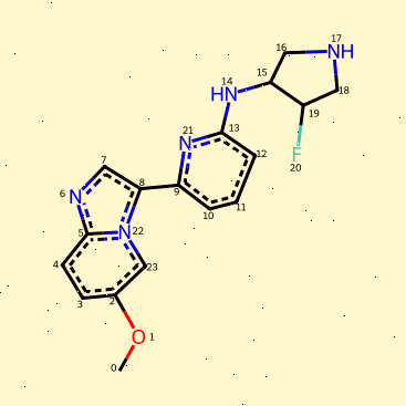 COc1ccc2ncc(-c3cccc(NC4CNCC4F)n3)n2c1